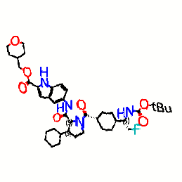 CC(C)(C)OC(=O)N[C@H](CF)[C@H]1CC[C@H](C(=O)N2CC[C@@H](C3CCCCC3)[C@H]2C(=O)Nc2ccc3[nH]c(C(=O)OCC4CCOCC4)cc3c2)CC1